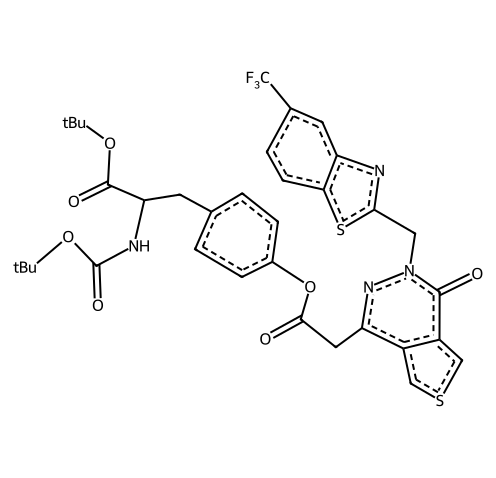 CC(C)(C)OC(=O)NC(Cc1ccc(OC(=O)Cc2nn(Cc3nc4cc(C(F)(F)F)ccc4s3)c(=O)c3cscc23)cc1)C(=O)OC(C)(C)C